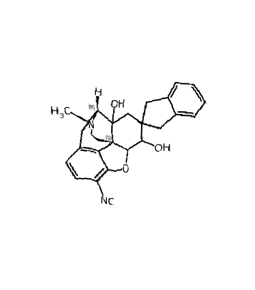 [C-]#[N+]c1ccc2c3c1OC1C(O)C4(Cc5ccccc5C4)CC4(O)[C@@H](C2)N(C)CC[C@]314